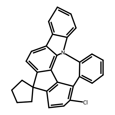 Clc1ccc2c3c1-c1ccccc1-n1c4ccccc4c4ccc(c-3c41)C21CCCC1